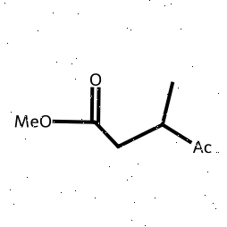 COC(=O)CC(C)C(C)=O